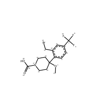 COC1(c2ccc(C(F)(F)F)cc2CBr)CCN(C(=O)O)CC1